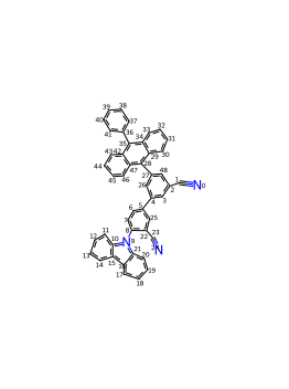 N#Cc1cc(-c2ccc(-n3c4ccccc4c4ccccc43)c(C#N)c2)cc(-c2c3ccccc3c(-c3ccccc3)c3ccccc23)c1